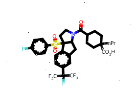 CCCC1(C(=O)O)CCC(C(=O)N2CCC3(S(=O)(=O)c4ccc(F)cc4)c4ccc(C(F)(C(F)(F)F)C(F)(F)F)cc4CC23)CC1